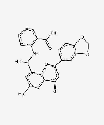 Cc1cc(C(C)Nc2ccccc2C(=O)O)c2oc(-c3ccc4c(c3)OCO4)cc(=O)c2c1